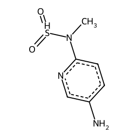 CN(c1ccc(N)cn1)[SH](=O)=O